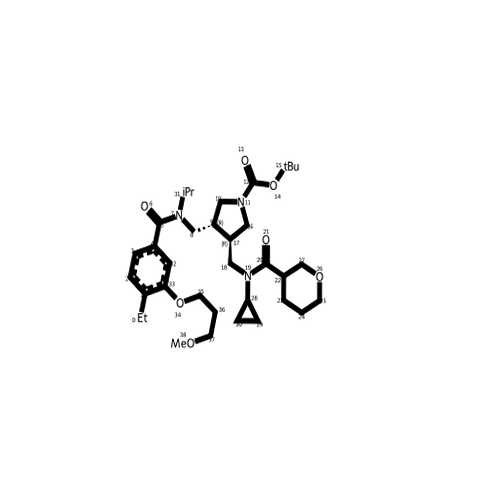 CCc1ccc(C(=O)N(C[C@@H]2CN(C(=O)OC(C)(C)C)C[C@H]2CN(C(=O)C2CCCOC2)C2CC2)C(C)C)cc1OCCCOC